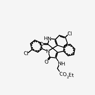 CCOC(=O)CNC1=C(c2ccccc2)C2(C(=O)NC3=C2CCC(Cl)=C3)N(c2cccc(Cl)c2)C1=O